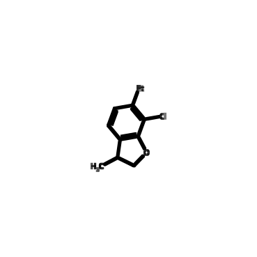 CCc1ccc2c(c1Cl)OCC2C